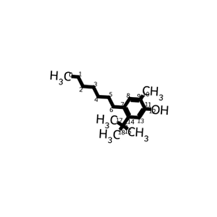 CCCCCCCc1cc(C)c(O)cc1C(C)(C)C